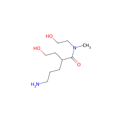 CN(CCO)C(=O)C(CCO)CCCN